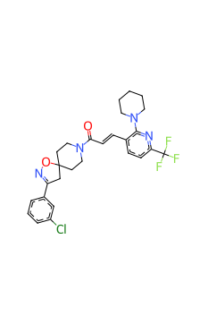 O=C(C=Cc1ccc(C(F)(F)F)nc1N1CCCCC1)N1CCC2(CC1)CC(c1cccc(Cl)c1)=NO2